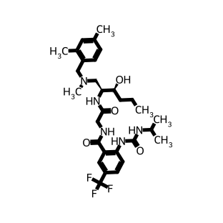 CCC[C@H](O)[C@H](CN(C)Cc1ccc(C)cc1C)NC(=O)CNC(=O)c1cc(C(F)(F)F)ccc1NC(=O)NC(C)C